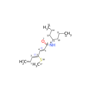 C=C/C=C(/C=C/C(=O)NC(CCC)CCC)SC